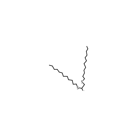 [CH2]C(CSCCCCCCCCCCCC)SCCCCCCCCCCCC